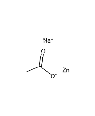 CC(=O)[O-].[Na+].[Zn]